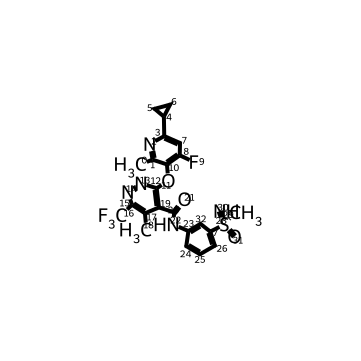 Cc1nc(C2CC2)cc(F)c1Oc1nnc(C(F)(F)F)c(C)c1C(=O)Nc1cccc(S(C)(=N)=O)c1